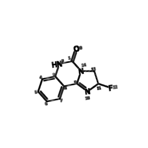 O=C1Nc2ccccc2C2=NC(F)CN12